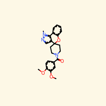 COc1ccc(C(=O)N2CCC3(CC2)Oc2ccccc2-c2c3cnn2C)cc1OC